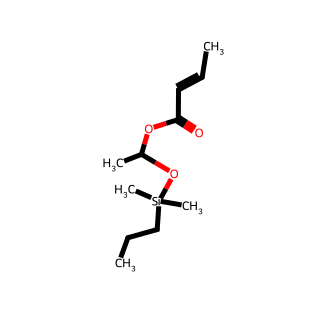 CC=CC(=O)OC(C)O[Si](C)(C)CCC